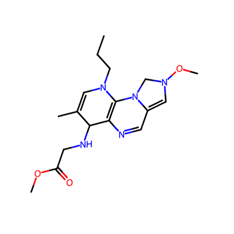 CCCN1C=C(C)C(NCC(=O)OC)C2=C1N1CN(OC)C=C1C=N2